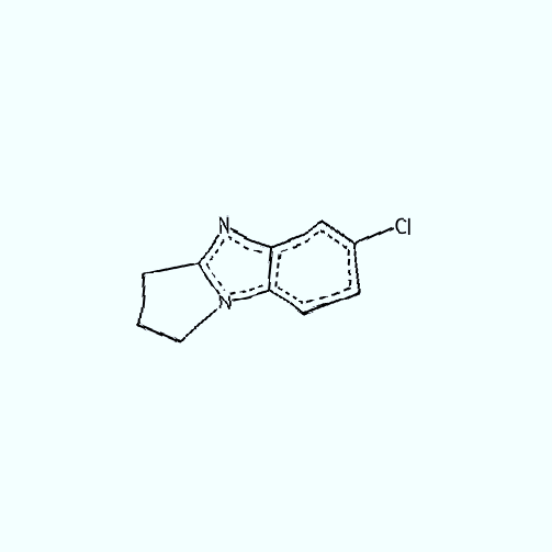 Clc1ccc2c(c1)nc1n2CCC1